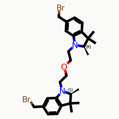 C[C@@H]1N(CCOCCN2c3cc(CBr)ccc3C(C)(C)[C@H]2C)c2cc(CBr)ccc2C1(C)C